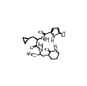 N#CC(CC1CCCNC1=O)NC(=O)C(CC1CC1)NC(=O)c1ccc(Cl)[nH]1